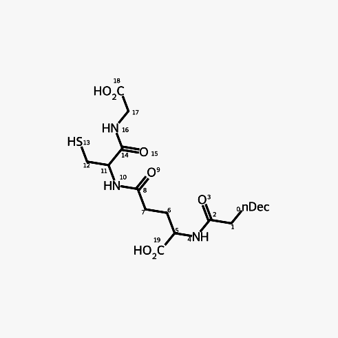 CCCCCCCCCCCC(=O)NC(CCC(=O)NC(CS)C(=O)NCC(=O)O)C(=O)O